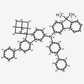 CC1(C)c2ccccc2-c2cc(N(c3ccc(-c4ccccc4)cc3)c3ccc4c(c3)-c3ccc(-c5ccccc5)cc3C43C4CC5CC6CC3C564)ccc21